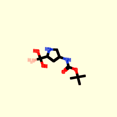 BC(O)(O)C1CC(NC(=O)OC(C)(C)C)CN1